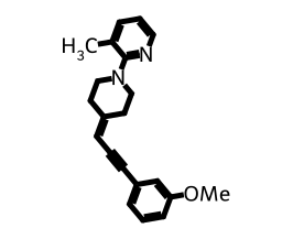 COc1cccc(C#CC=C2CCN(c3ncccc3C)CC2)c1